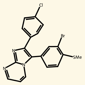 CSc1ccc(-c2c(-c3ccc(Cl)cc3)nc3ncccn23)cc1Br